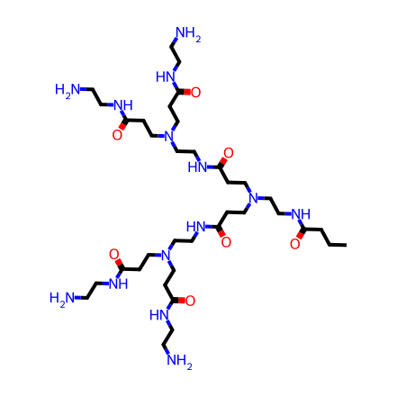 CCCC(=O)NCCN(CCC(=O)NCCN(CCC(=O)NCCN)CCC(=O)NCCN)CCC(=O)NCCN(CCC(=O)NCCN)CCC(=O)NCCN